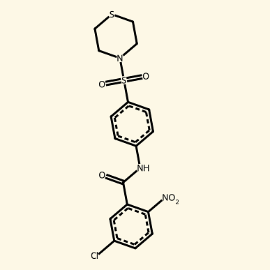 O=C(Nc1ccc(S(=O)(=O)N2CCSCC2)cc1)c1cc(Cl)ccc1[N+](=O)[O-]